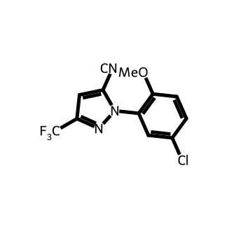 COc1ccc(Cl)cc1-n1nc(C(F)(F)F)cc1C#N